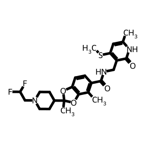 CSc1cc(C)[nH]c(=O)c1CNC(=O)c1ccc2c(c1C)OC(C)(C1CCN(CC(F)F)CC1)O2